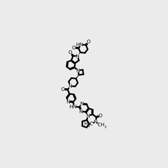 CN(C)C(=O)c1cc2cnc(Nc3ccc(C(=O)N4CCC([C@@H]5CCN5c5cccc6c5CN([C@H]5CCC(=O)NC5=O)C6=O)CC4)cn3)nc2n1C1CCCC1